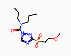 CCCN(CCC)C(=O)n1cnc(S(=O)(=O)CCOC)n1